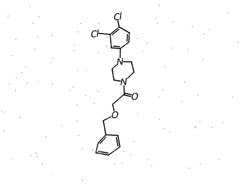 O=C(COCc1ccccc1)N1CCN(c2ccc(Cl)c(Cl)c2)CC1